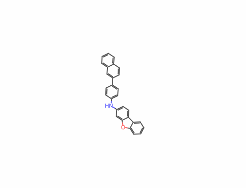 c1ccc2cc(-c3ccc(Nc4ccc5c(c4)oc4ccccc45)cc3)ccc2c1